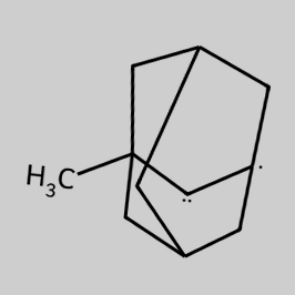 CC12[C][C]3CC(CC(C3)C1)C2